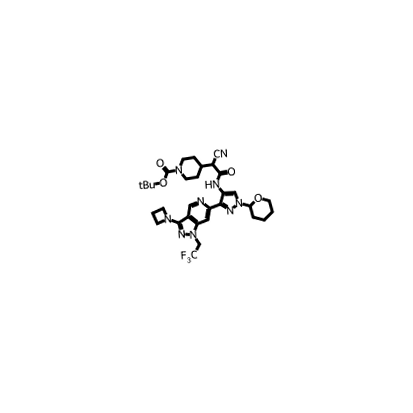 CC(C)(C)OC(=O)N1CCC(C(C#N)C(=O)Nc2cn(C3CCCCO3)nc2-c2cc3c(cn2)c(N2CCC2)nn3CC(F)(F)F)CC1